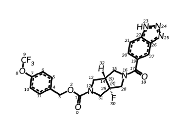 O=C(OCc1ccc(OC(F)(F)F)cc1)N1C[C@@H]2CN(C(=O)c3ccc4[nH]nnc4c3)C[C@@]2(F)C1